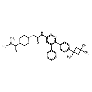 CN(C)C(=O)[C@H]1CC[C@H](CC(=O)Nc2cc(-c3ccccc3)c(-c3ccc([C@]4(N)C[C@](C)(O)C4)cc3)nn2)CC1